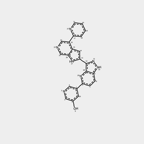 Oc1cncc(-c2ccc3[nH]nc(-c4cc5c(-c6ccccn6)cncc5[nH]4)c3n2)c1